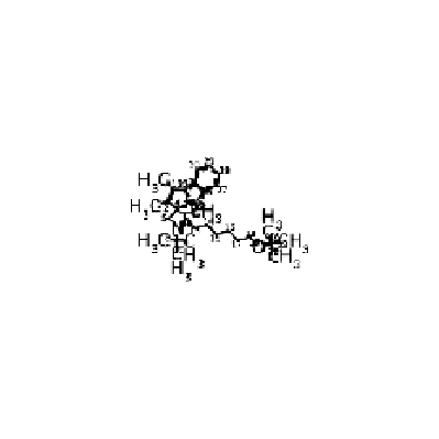 CC1=C(C)C2(CN(C(C)(C)C)S2(C)CCCCCCOC(C)(C)C)c2sc3ccccc3c21